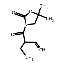 C=CC(CC)C(=O)N1CC(C)(C)OC1=O